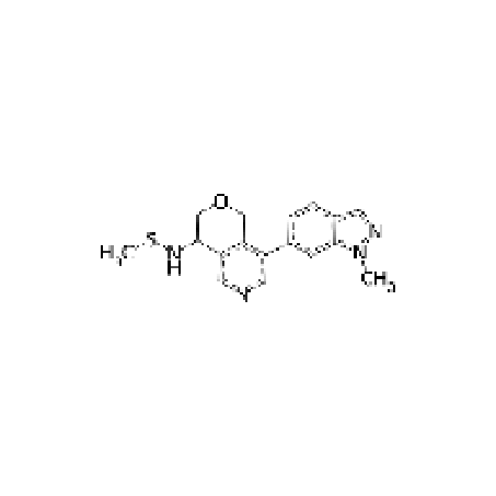 CSNC1COCc2c(-c3ccc4cnn(C)c4c3)cncc21